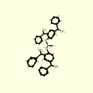 CC(c1ccccc1)c1ccc(OP(F)Oc2ccc(C(C)c3ccccc3)cc2C(C)c2ccccc2)c(C(C)c2ccccc2)c1